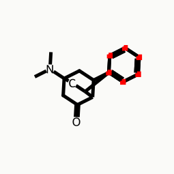 CN(C)C12CC(=O)C(C(c3ccccc3)C1)C(c1ccccc1)C2